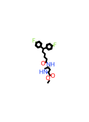 CCOC(=O)C1C[C@H](NC(=O)CCCCC(c2ccc(F)cc2)c2ccc(F)cc2)CN1